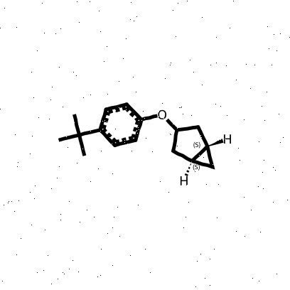 CC(C)(C)c1ccc(OC2C[C@@H]3C[C@H]3C2)cc1